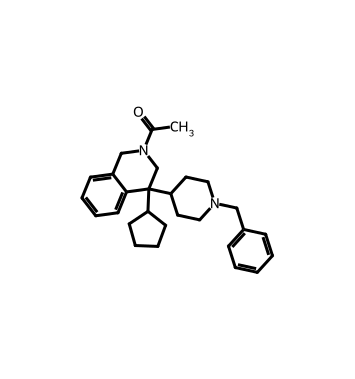 CC(=O)N1Cc2ccccc2C(C2CCCC2)(C2CCN(Cc3ccccc3)CC2)C1